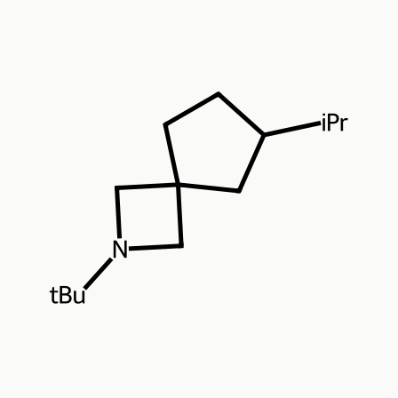 CC(C)C1CCC2(C1)CN(C(C)(C)C)C2